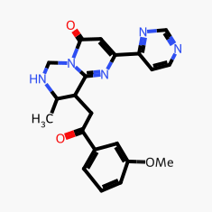 COc1cccc(C(=O)CC2c3nc(-c4ccncn4)cc(=O)n3CNC2C)c1